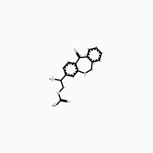 CCCC(=O)OCC(C)c1ccc2c(c1)SCc1ccccc1C2=O